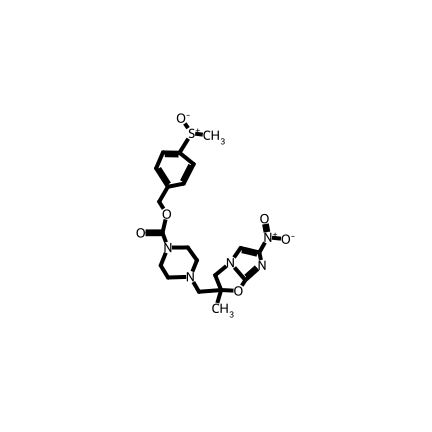 C[S+]([O-])c1ccc(COC(=O)N2CCN(CC3(C)Cn4cc([N+](=O)[O-])nc4O3)CC2)cc1